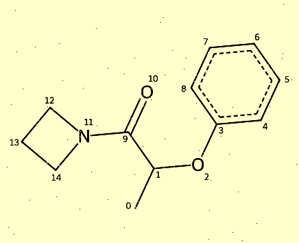 CC(Oc1ccccc1)C(=O)N1CCC1